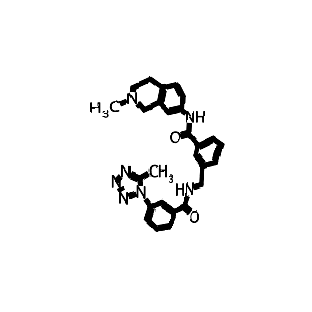 Cc1nnnn1-c1cccc(C(=O)NCc2cccc(C(=O)Nc3ccc4c(c3)CN(C)CC4)c2)c1